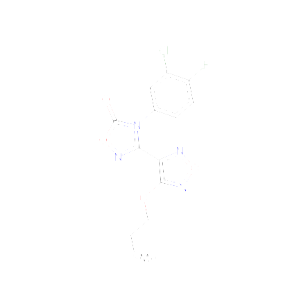 CSCCOc1nonc1-c1noc(=O)n1-c1ccc(F)c(Cl)c1